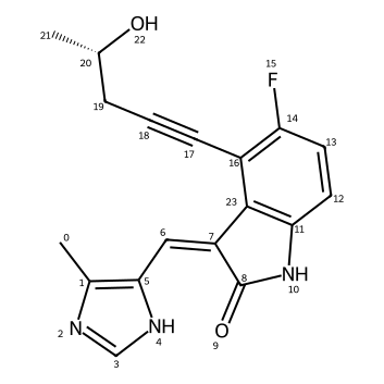 Cc1nc[nH]c1/C=C1\C(=O)Nc2ccc(F)c(C#CC[C@H](C)O)c21